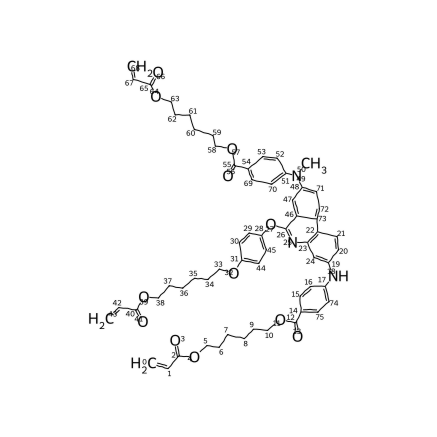 C=CC(=O)OCCCCCCOC(=O)c1ccc(Nc2ccc3c(c2)nc(Oc2ccc(OCCCCCCOC(=O)C=C)cc2)c2cc(N(C)c4ccc(C(=O)OCCCCCCOC(=O)C=C)cc4)ccc23)cc1